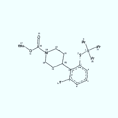 CC(C)[Si](Sc1cccc(F)c1C1CCN(C(=O)OC(C)(C)C)CC1)(C(C)C)C(C)C